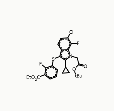 CCOC(=O)c1cccc(Sc2c(C3CC3)n(CC(=O)OC(C)(C)C)c3c(F)c(Cl)ccc23)c1F